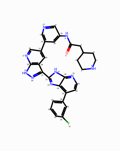 O=C(CC1CCNCC1)Nc1cncc(-c2cnc3[nH]nc(-c4nc5c(-c6cccc(F)c6)ccnc5[nH]4)c3c2)c1